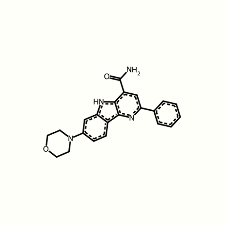 NC(=O)c1cc(-c2ccccc2)nc2c1[nH]c1cc(N3CCOCC3)ccc12